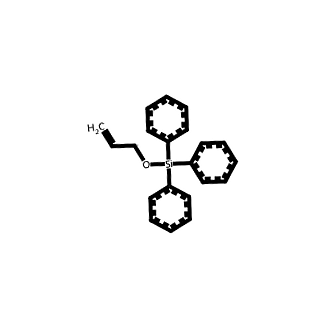 C=C[CH]O[Si](c1ccccc1)(c1ccccc1)c1ccccc1